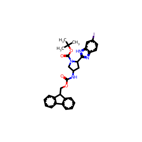 CC(C)(C)OC(=O)N1CC(NC(=O)OCC2c3ccccc3-c3ccccc32)CC1c1nc2ccc(I)cc2[nH]1